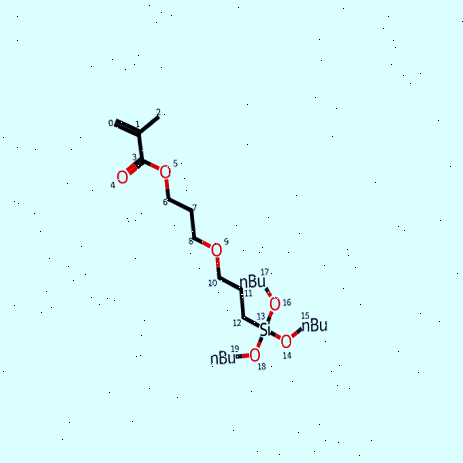 C=C(C)C(=O)OCCCOCCC[Si](OCCCC)(OCCCC)OCCCC